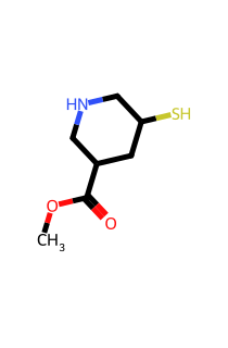 COC(=O)C1CNCC(S)C1